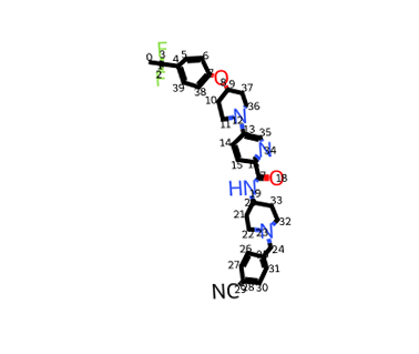 CC(F)(F)c1ccc(OC2CCN(c3ccc(C(=O)NC4CCN(Cc5ccc(C#N)cc5)CC4)nc3)CC2)cc1